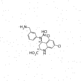 CC(=O)N(c1cccc(CN)c1)[C@@H]1C[C@@H](C(=O)O)Nc2cc(Cl)cc(Cl)c21.Cl